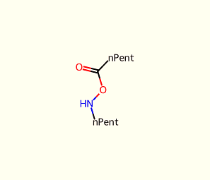 CCCCCNOC(=O)CCCCC